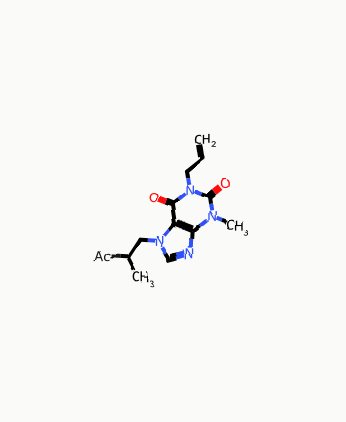 C=CCn1c(=O)c2c(ncn2CC(C)C(C)=O)n(C)c1=O